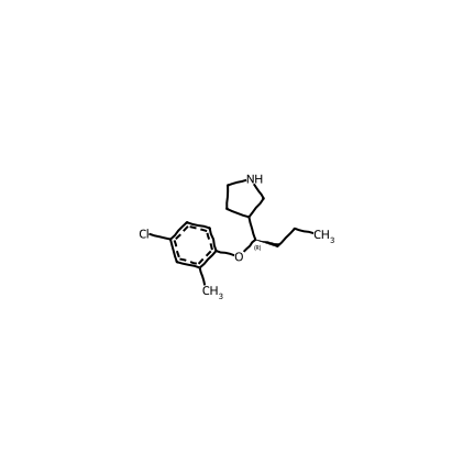 CCC[C@@H](Oc1ccc(Cl)cc1C)C1CCNC1